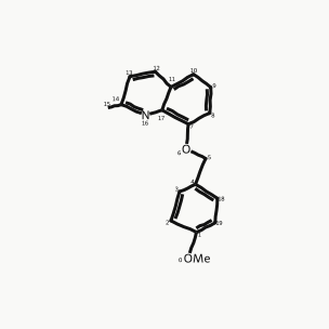 COc1ccc(COc2cccc3ccc(C)nc23)cc1